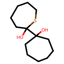 OC1(C2(O)CCCCCS2)CCCCCC1